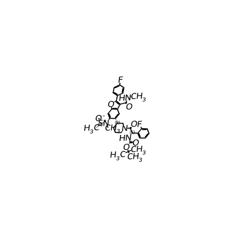 CNC(=O)c1c(-c2ccc(F)cc2)oc2cc(N(C)[S@+](C)[O-])c([C@H]3CCCN(C(=O)[C@@H](NC(=O)OC(C)(C)C)c4ccccc4F)C3)cc12